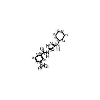 O=C(Nc1nnc(NC2CCCCCC2)s1)c1cccc([N+](=O)[O-])c1